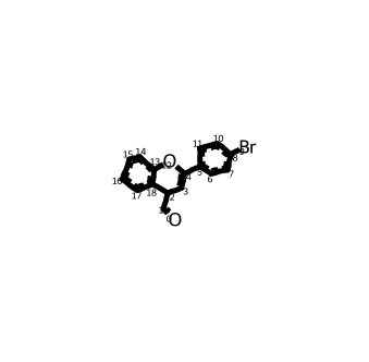 O=CC1C=C(c2ccc(Br)cc2)Oc2ccccc21